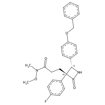 CON(C)C(=O)CC[C@]1(c2ccc(F)cc2)C(=O)N[C@H]1c1ccc(OCc2ccccc2)cc1